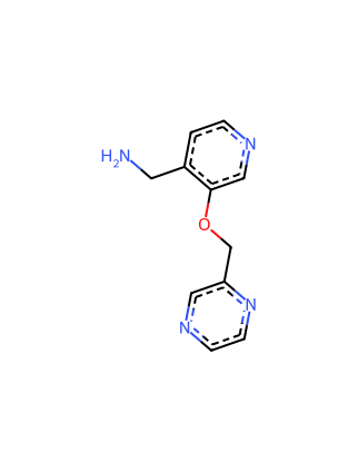 NCc1ccncc1OCc1cnccn1